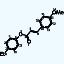 CCc1ccc(OC(=O)C=Cc2ccc(OC)cc2)cc1